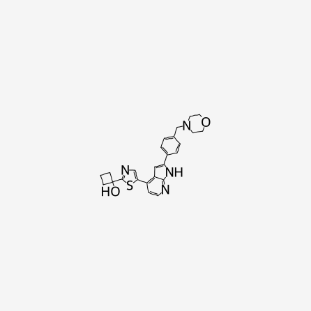 OC1(c2ncc(-c3ccnc4[nH]c(-c5ccc(CN6CCOCC6)cc5)cc34)s2)CCC1